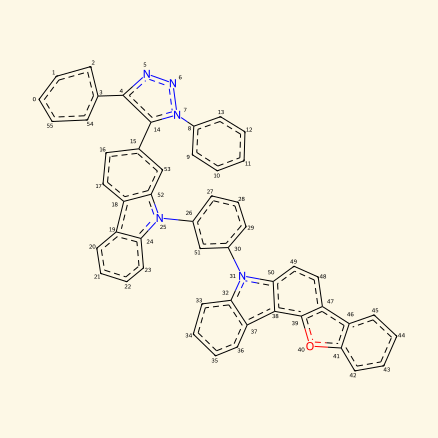 c1ccc(-c2nnn(-c3ccccc3)c2-c2ccc3c4ccccc4n(-c4cccc(-n5c6ccccc6c6c7oc8ccccc8c7ccc65)c4)c3c2)cc1